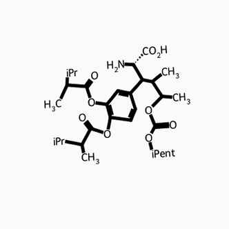 CCCC(C)OC(=O)OC(C)C(C)C(c1ccc(OC(=O)C(C)C(C)C)c(OC(=O)C(C)C(C)C)c1)[C@H](N)C(=O)O